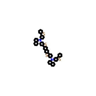 c1ccc2c(N(c3ccc4c(c3)sc3cc5cc6c(cc5cc34)sc3cc(N(c4ccc5sc7ccccc7c5c4)c4cccc5ccccc45)ccc36)c3ccc4sc5ccccc5c4c3)cccc2c1